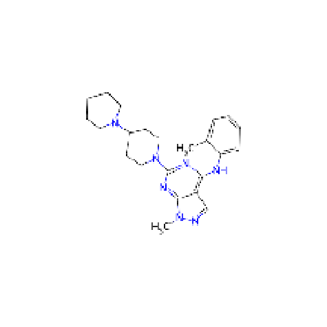 Cc1ccccc1Nc1nc(N2CCC(N3CCCCC3)CC2)nc2c1cnn2C